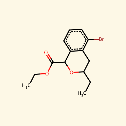 CCOC(=O)C1OC(CC)Cc2c(Br)cccc21